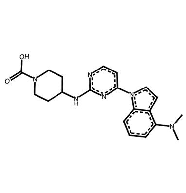 CN(C)c1cccc2c1ccn2-c1ccnc(NC2CCN(C(=O)O)CC2)n1